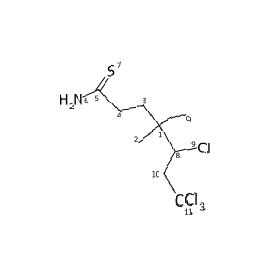 CC(C)(CCC(N)=S)C(Cl)CC(Cl)(Cl)Cl